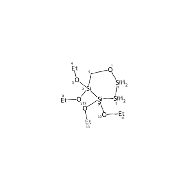 CCO[Si]1(OCC)CO[SiH2][SiH2][Si]1(OCC)OCC